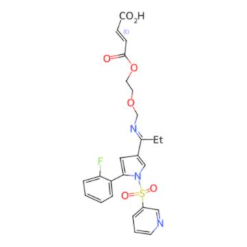 CCC(=NCOCCOC(=O)/C=C/C(=O)O)c1cc(-c2ccccc2F)n(S(=O)(=O)c2cccnc2)c1